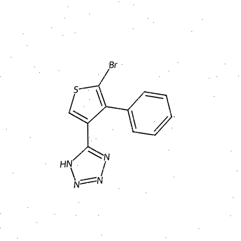 Brc1scc(-c2nnn[nH]2)c1-c1cc[c]cc1